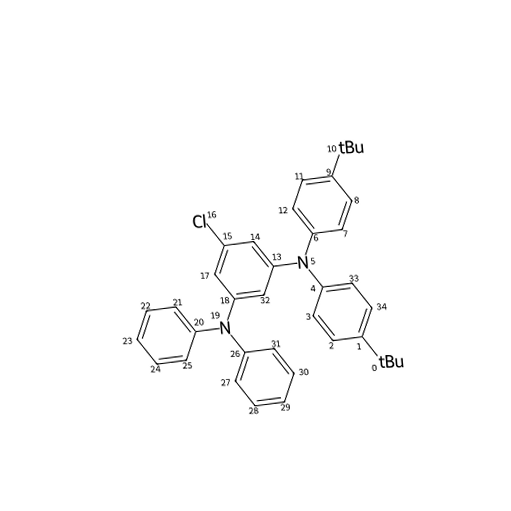 CC(C)(C)c1ccc(N(c2ccc(C(C)(C)C)cc2)c2cc(Cl)cc(N(c3ccccc3)c3ccccc3)c2)cc1